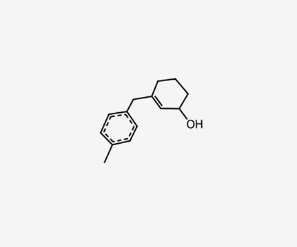 Cc1ccc(CC2=CC(O)CCC2)cc1